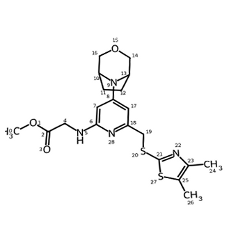 COC(=O)CNc1cc(N2C3CCC2COC3)cc(CSc2nc(C)c(C)s2)n1